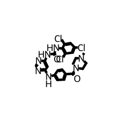 CN1CCN(C(=O)c2ccc(Nc3cc(NC(=O)Nc4c(Cl)cc(Cl)cc4Cl)ncn3)cc2)CC1